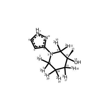 [2H]C1([2H])N(c2cc[nH]n2)C([2H])([2H])[C@](C)(O)C([2H])([2H])C1([2H])[2H]